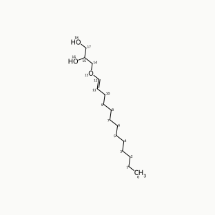 CCCCCCCCCCCC=COCC(O)CO